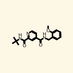 COc1ccccc1CNC(=O)c1ccnc(C(=O)NC(C)(C)C)c1